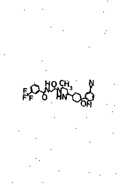 C[C@H](CC(=N)C1CCC(O)(c2cccc(C#N)c2)CC1)NC(=O)CNC(=O)c1cccc(C(F)(F)F)c1